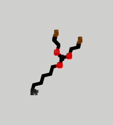 CC(C)CCCCCOB(OCC=S)OCC=S